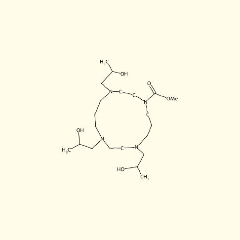 COC(=O)N1CCCN(CC(C)O)CCN(CC(C)O)CCCN(CC(C)O)CC1